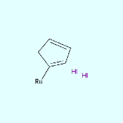 I.I.[Ru][C]1=CC=CC1